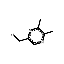 Cc1ncc(CCl)nc1C